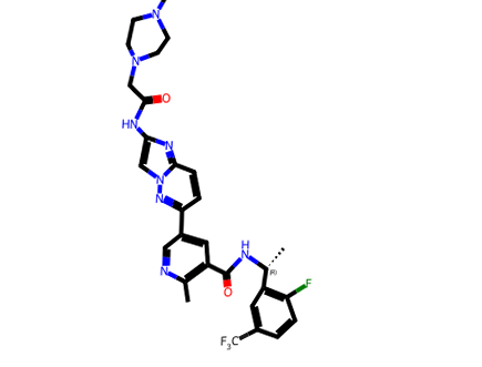 Cc1ncc(-c2ccc3nc(NC(=O)CN4CCN(C)CC4)cn3n2)cc1C(=O)N[C@H](C)c1cc(C(F)(F)F)ccc1F